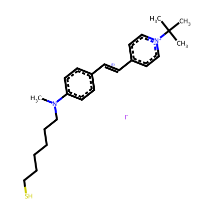 CN(CCCCCCS)c1ccc(/C=C/c2cc[n+](C(C)(C)C)cc2)cc1.[I-]